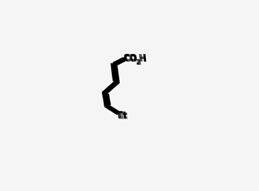 CC/C=C\C=C\C(=O)O